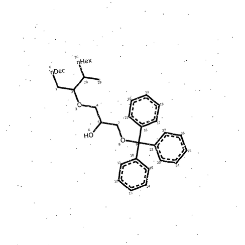 CCCCCCCCCCCC(OCC(O)COC(c1ccccc1)(c1ccccc1)c1ccccc1)C(C)CCCCCC